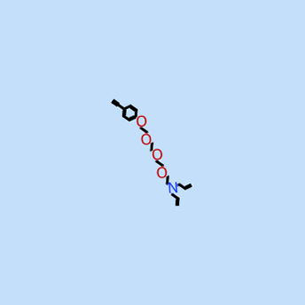 C#Cc1ccc(OCCOCCOCCOCCN(CC=C)CC=C)cc1